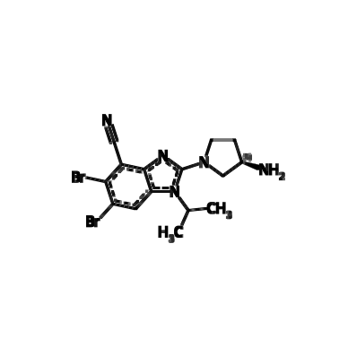 CC(C)n1c(N2CC[C@@H](N)C2)nc2c(C#N)c(Br)c(Br)cc21